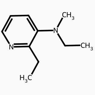 CCc1ncccc1N(C)CC